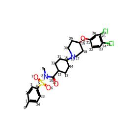 Cc1ccc(S(=O)(=O)N(C)C(=O)C2CCC(N3CCC(Oc4ccc(Cl)c(Cl)c4)CC3)CC2)cc1